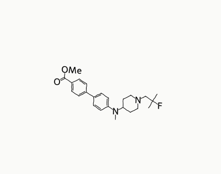 COC(=O)c1ccc(-c2ccc(N(C)C3CCN(CC(C)(C)F)CC3)cc2)cc1